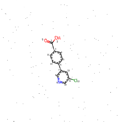 O=C(O)c1ccc(-c2cncc(Cl)c2)cc1